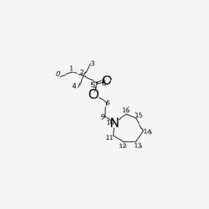 CCC(C)(C)C(=O)OCCN1CCCCCC1